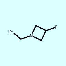 CC(C)CN1CC(F)C1